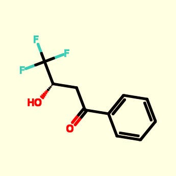 O=C(C[C@H](O)C(F)(F)F)c1ccccc1